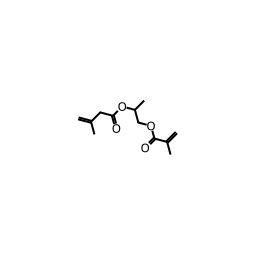 C=C(C)CC(=O)OC(C)COC(=O)C(=C)C